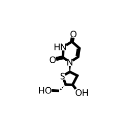 O=c1ccn([C@H]2CC(O)[C@H](CO)S2)c(=O)[nH]1